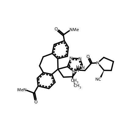 CNC(=O)c1ccc2c(c1)CCc1cc(C(=O)NC)ccc1C2(C[C@@H](C)NCC(=O)N1CCC[C@H]1C#N)c1nnnn1C